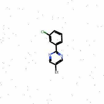 CCc1cnc(-c2cccc(Cl)c2)nc1